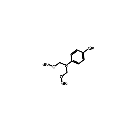 CC(C)(C)OCN(COC(C)(C)C)c1ccc(C(C)(C)C)cc1